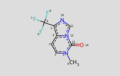 Cn1ccc2c(C(F)(F)F)ncn2c1=O